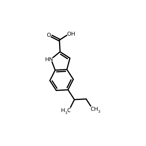 CCC(C)c1ccc2[nH]c(C(=O)O)cc2c1